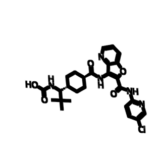 CC(C)(C)C(NC(=O)O)[C@H]1CC[C@H](C(=O)Nc2c(C(=O)Nc3ccc(Cl)cn3)oc3cccnc23)CC1